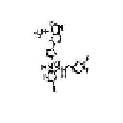 C#Cc1cnc(NCc2ccc([C@@H]3C=Cc4ncnc(N)c4C3)s2)c(C(=O)NCc2ccc(F)c(F)c2)c1